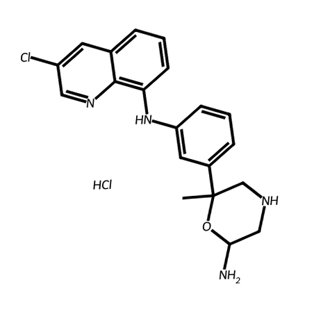 CC1(c2cccc(Nc3cccc4cc(Cl)cnc34)c2)CNCC(N)O1.Cl